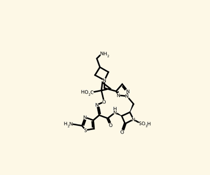 NCC1CN(Cc2cnn(C[C@@H]3[C@H](NC(=O)C(=NOC4(C(=O)O)CC4)c4csc(N)n4)C(=O)N3S(=O)(=O)O)n2)C1